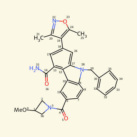 COC1CN(C(=O)c2ccc3c(c2)c2c(C(N)=O)cc(-c4c(C)noc4C)cc2n3Cc2ccccc2)C1